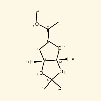 COC(C)[C@@H]1C[C@H]2OC(C)(C)O[C@H]2O1